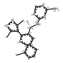 Cc1noc(C)c1-c1nc2c(C)cccc2cc1[C@H](C)Nc1ncnc(N)n1